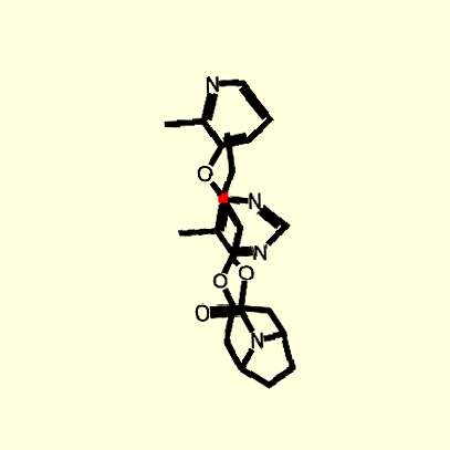 CCCCCOC(=O)N1C2CCC1CC(Oc1ncnc(Oc3cccnc3C)c1C)C2